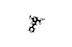 COc1ncc(C(=O)O)c2cc(C3CCOCC3)oc12